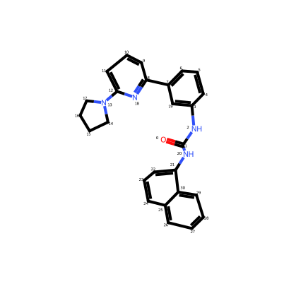 O=C(Nc1cccc(-c2cccc(N3CCCC3)n2)c1)Nc1cccc2ccccc12